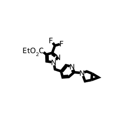 CCOC(=O)c1cn(Cc2ccc(N3CC4CC4C3)nc2)nc1C(F)F